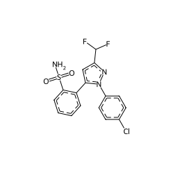 NS(=O)(=O)c1ccccc1-c1cc(C(F)F)nn1-c1ccc(Cl)cc1